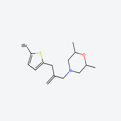 C=C(Cc1ccc(C(C)(C)C)s1)CN1CC(C)OC(C)C1